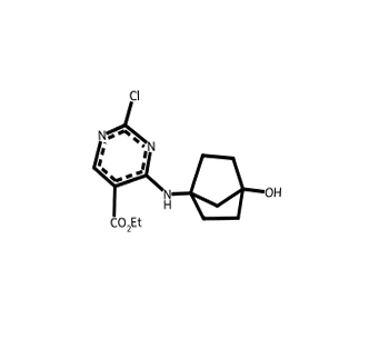 CCOC(=O)c1cnc(Cl)nc1NC12CCC(O)(CC1)C2